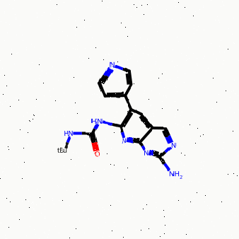 CC(C)(C)NC(=O)Nc1nc2nc(N)ncc2cc1-c1ccncc1